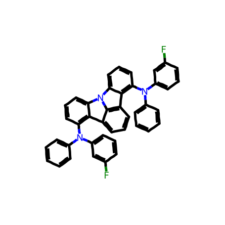 Fc1cccc(N(c2ccccc2)c2cccc3c2c2cccc4c5c(N(c6ccccc6)c6cccc(F)c6)cccc5n3c24)c1